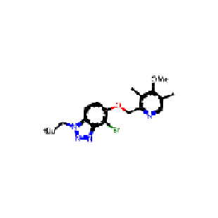 COc1c(C)cnc(COc2ccc3c(nnn3CC(C)(C)C)c2Br)c1C